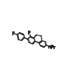 CCCc1ccc2c(c1)CCc1c-2ccc(-c2ccc(F)cc2)c1F